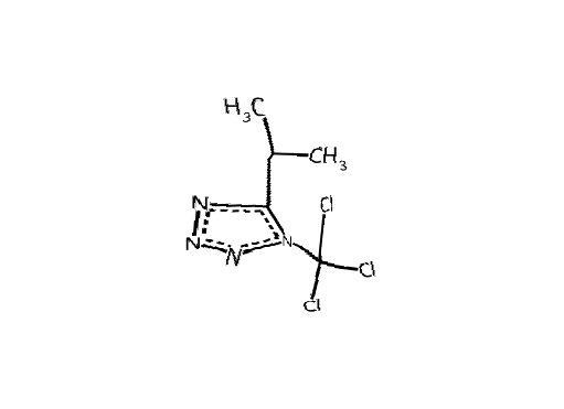 CC(C)c1nnnn1C(Cl)(Cl)Cl